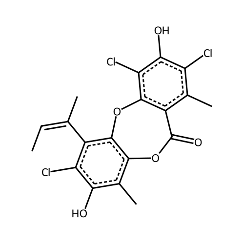 C/C=C(/C)c1c(Cl)c(O)c(C)c2c1Oc1c(Cl)c(O)c(Cl)c(C)c1C(=O)O2